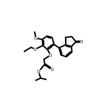 CCOc1c(OC)ccc(-c2cccc3c2CCC3=O)c1OCC(=O)OC(C)C